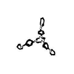 c1cc(N2CN(c3ccc(N4CCCCC4)cc3)CN(c3ccc(N4CCCCC4)cc3)C2)ccc1N1CCCCC1